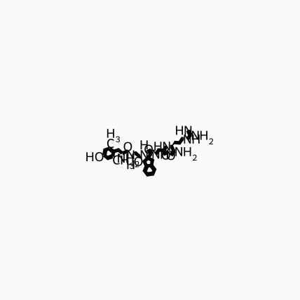 Cc1cc(O)cc(C)c1CC(N)C(=O)NCC(=O)NC1(C(=O)NCC(=O)N[C@@H](CCCNC(=N)N)C(N)=O)Cc2ccccc2C1